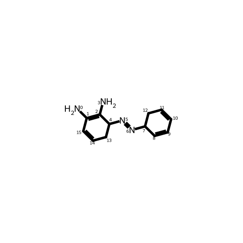 NC1=C(N)C(N=NC2C=CC=CC2)CC=C1